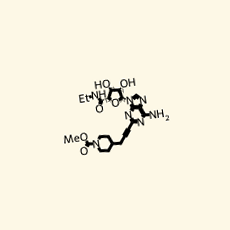 CCNC(=O)[C@H]1O[C@@H](n2cnc3c(N)nc(C#CCC4CCN(C(=O)OC)CC4)nc32)[C@@H](O)[C@@H]1O